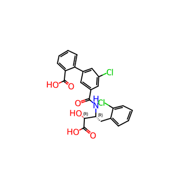 O=C(N[C@H](Cc1ccccc1Cl)[C@@H](O)C(=O)O)c1cc(Cl)cc(-c2ccccc2C(=O)O)c1